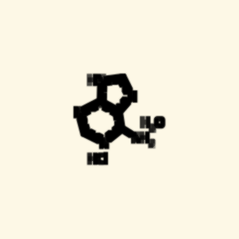 Cl.Nc1ncnc2[nH]cnc12.O